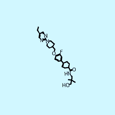 CCc1cnc(N2CCC(COc3ccc(C4=CCC(C(=O)NCC(C)(C)CO)CC4)cc3F)CC2)nc1